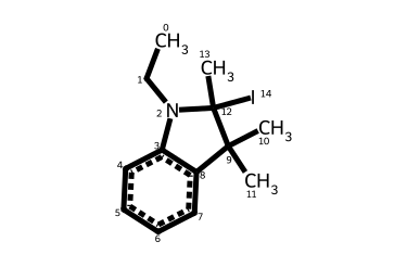 CCN1c2ccccc2C(C)(C)C1(C)I